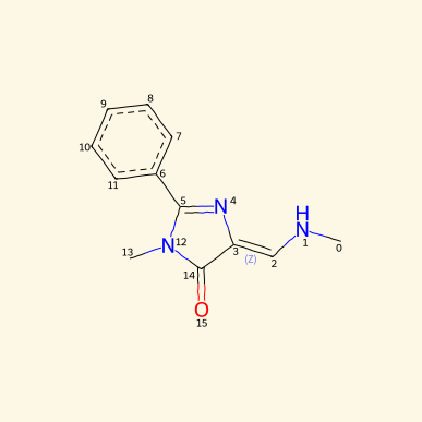 CN/C=C1\N=C(c2ccccc2)N(C)C1=O